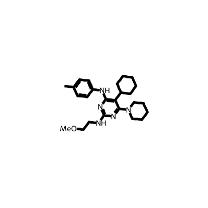 COCCNc1nc(Nc2ccc(C)cc2)c(C2CCCCC2)c(N2CCCCC2)n1